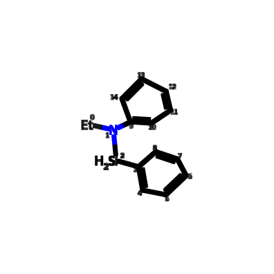 CCN([SiH2]c1ccccc1)c1ccccc1